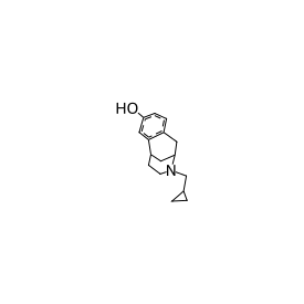 Oc1ccc2c(c1)C1CCN(CC3CC3)C(C2)C1